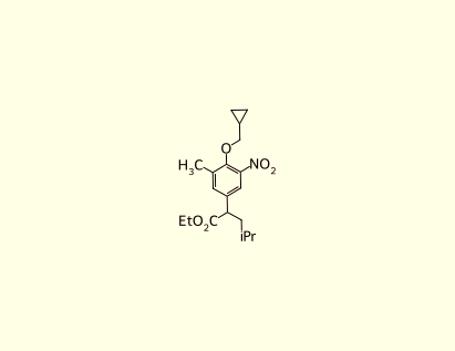 CCOC(=O)C(CC(C)C)c1cc(C)c(OCC2CC2)c([N+](=O)[O-])c1